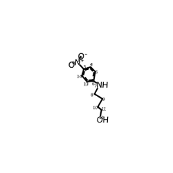 O=[N+]([O-])c1ccc(NCCCCO)cc1